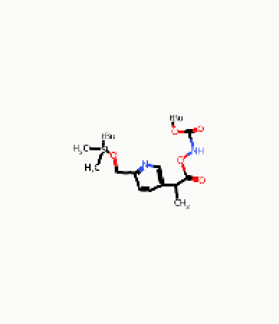 CC(C(=O)ONC(=O)OC(C)(C)C)c1ccc(CO[Si](C)(C)C(C)(C)C)nc1